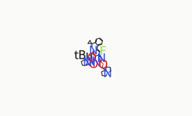 CC(C)(C)OC(=O)N1C2CCC1CN(c1nc(OCC34CCCN3CCC4)nc3c(F)c(-c4ccccc4C4(C)CC4)ncc13)C2